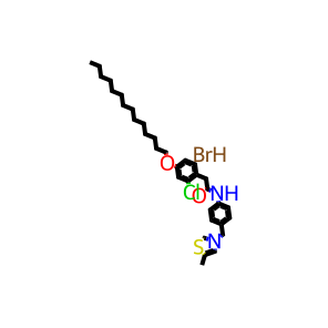 Br.CCCCCCCCCCCCCCOc1ccc(CC(=O)Nc2ccc(CN3C=C(C)SC3)cc2)c(Cl)c1